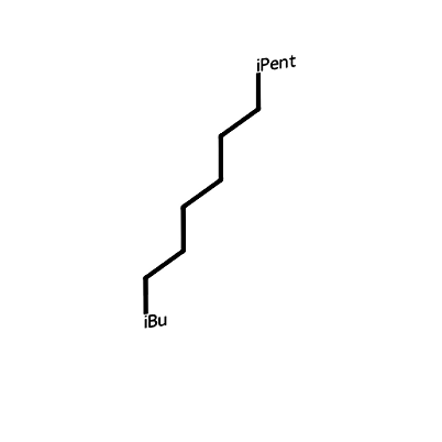 [CH2]CC(C)CCCCCCC(C)CCC